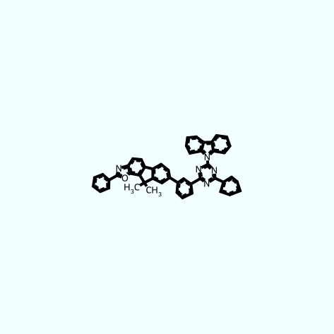 CC1(C)c2cc(-c3cccc(-c4nc(-c5ccccc5)nc(-n5c6ccccc6c6ccccc65)n4)c3)ccc2-c2ccc3nc(-c4ccccc4)oc3c21